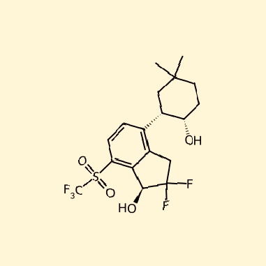 CC1(C)CC[C@H](O)[C@H](c2ccc(S(=O)(=O)C(F)(F)F)c3c2CC(F)(F)[C@H]3O)C1